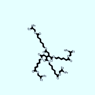 CCCC(CC)COC(=O)CCCCCOC(=O)CC(C(=O)OCCCCCC(=O)OCC(CC)CCC)C(CC(=O)OCCCCCC(=O)OCC(CC)CCC)C(=O)OCCCCCC(=O)OCC(CC)CCC